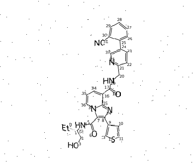 CC[C@@H](CO)NC(=O)c1c(-c2ccsc2)nc2c(C(=O)NCc3ccc(-c4ccccc4C#N)cn3)cccn12